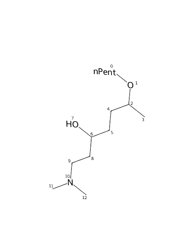 CCCCCOC(C)CCC(O)CCN(C)C